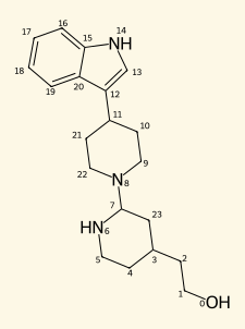 OCCC1CCNC(N2CCC(c3c[nH]c4ccccc34)CC2)C1